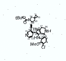 COc1c(Cl)cccc1Nc1c(-c2ccncc2C#C[C@H]2CC3(CC3)CN2C(=O)OC(C)(C)C)[nH]c2c1C(=O)NCC2